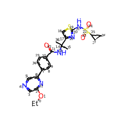 CCOc1cncc(-c2ccc(C(=O)NC(C)(C)c3csc(NS(=O)(=O)C4CC4)n3)cc2)n1